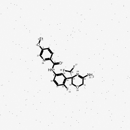 CCOc1ccc(C(=O)Nc2ccc(F)c([C@]3(C(F)F)COCC(N)=N3)c2)nc1